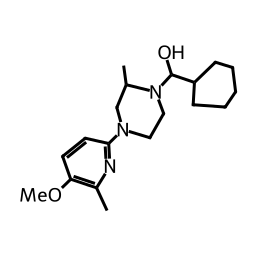 COc1ccc(N2CCN(C(O)C3CCCCC3)C(C)C2)nc1C